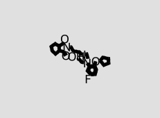 O=C1C2CCCCC2C(=O)N1CC(O)CN1CCN(c2cc(F)ccc2OC2CCCC2)CC1